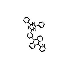 c1ccc(-c2nc(-c3ccccc3)nc(-c3cccc(-c4c5ccccc5c(-c5ccccn5)c5ccccc45)c3)n2)cc1